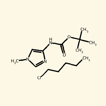 CCCCCCl.Cn1cnc(NC(=O)OC(C)(C)C)c1